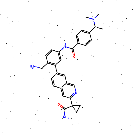 CC(c1ccc(C(=O)Nc2ccc(CN)c(-c3ccc4cc(C5(C(N)=O)CC5)ncc4c3)c2)cc1)N(C)C